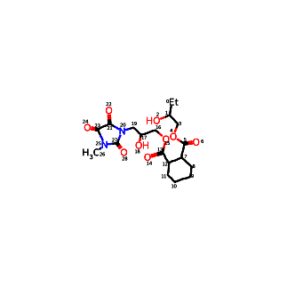 CCC(O)COC(=O)C1CCCCC1C(=O)OCC(O)CN1C(=O)C(=O)N(C)C1=O